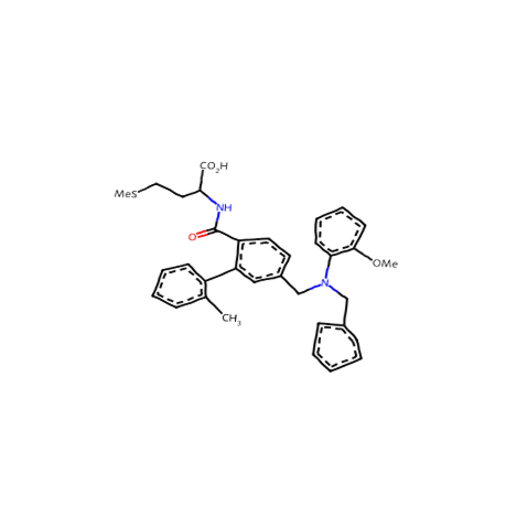 COc1ccccc1N(Cc1ccccc1)Cc1ccc(C(=O)NC(CCSC)C(=O)O)c(-c2ccccc2C)c1